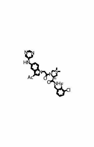 CC(=O)c1cn(CC(=O)N2CS(C)(C)C[C@H]2C(=O)NCc2cccc(Cl)c2F)c2ccc(Nc3cncnc3)cc12